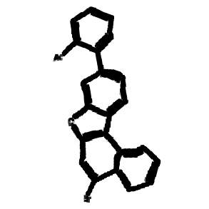 CC(=O)c1ccccc1-c1ccc2c(c1)oc1cc(Br)c3ccccc3c12